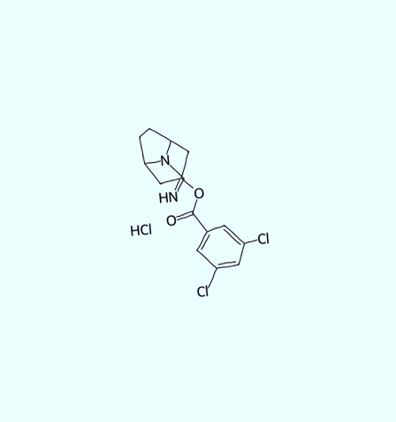 Cl.N=CN1C2CCC1CC(OC(=O)c1cc(Cl)cc(Cl)c1)C2